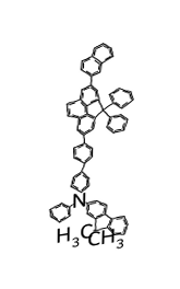 CC1(C)c2ccccc2-c2ccc(N(c3ccccc3)c3ccc(-c4ccc(-c5cc6c7c(ccc8cc(-c9ccc%10ccccc%10c9)cc(c87)C6(c6ccccc6)c6ccccc6)c5)cc4)cc3)cc21